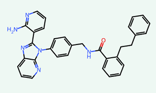 Nc1ncccc1-c1nc2cccnc2n1-c1ccc(CNC(=O)c2ccccc2CCc2ccccc2)cc1